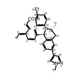 C=C(\C=C/C(/C=C/C(=O)O)=C\C)[C@@H]1c2ccc(-c3cnn(C)c3)cc2C[C@@H](C)N1c1ccc(CC)cc1